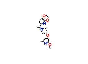 Cc1cc(OC2CCN(C(C)c3ccc4c(n3)OCCO4)CC2)cc(OC(C)C)n1